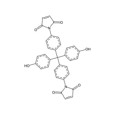 O=C1C=CC(=O)N1c1ccc(C(c2ccc(O)cc2)(c2ccc(O)cc2)c2ccc(N3C(=O)C=CC3=O)cc2)cc1